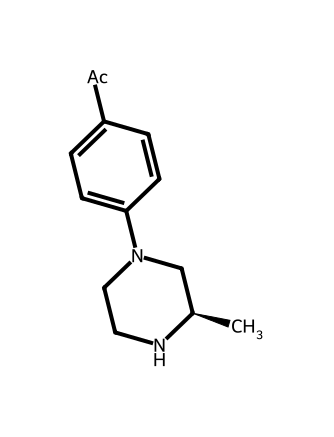 CC(=O)c1ccc(N2CCN[C@H](C)C2)cc1